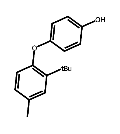 Cc1ccc(Oc2ccc(O)cc2)c(C(C)(C)C)c1